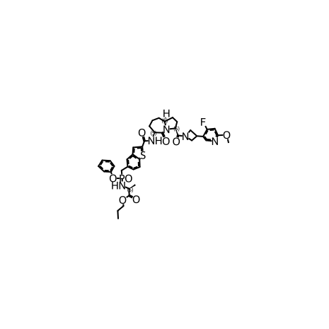 CCCOC(=O)[C@H](C)NP(=O)(Cc1ccc2sc(C(=O)N[C@H]3CCC[C@H]4CC[C@@H](C(=O)N5CC(c6cnc(OC)cc6F)C5)N4C3=O)cc2c1)Oc1ccccc1